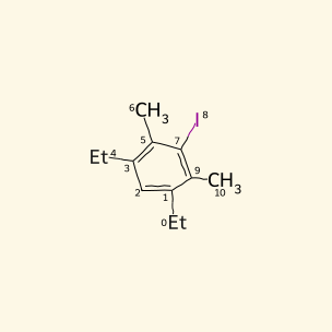 CCc1cc(CC)c(C)c(I)c1C